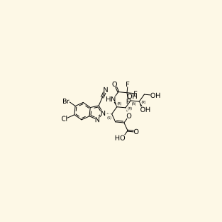 N#Cc1c2cc(Br)c(Cl)cc2nn1[C@H]1C=C(C(=O)O)O[C@@H]([C@H](O)[C@H](O)CO)[C@@H]1NC(=O)C(F)(F)F